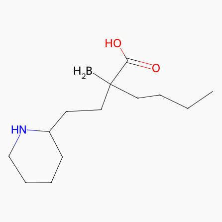 BC(CCCC)(CCC1CCCCN1)C(=O)O